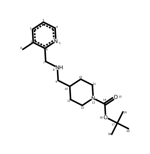 Cc1cccnc1CNCC1CCN(C(=O)OC(C)(C)C)CC1